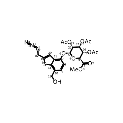 COC(=O)[C@H]1O[C@@H](Oc2ccc(CO)c3sc(CN=[N+]=[N-])cc23)[C@H](OC(C)=O)[C@@H](OC(C)=O)[C@@H]1OC(C)=O